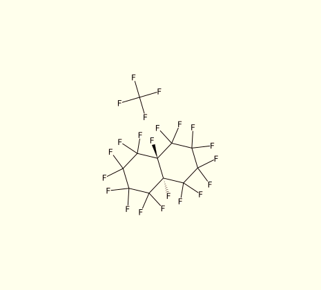 FC(F)(F)F.FC1(F)C(F)(F)C(F)(F)[C@]2(F)C(F)(F)C(F)(F)C(F)(F)C(F)(F)[C@@]2(F)C1(F)F